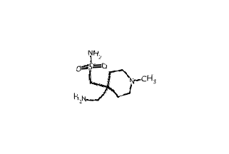 CN1CCC(CN)(CS(N)(=O)=O)CC1